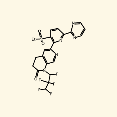 CCS(=O)(=O)c1ccc(-c2ncccn2)nc1-c1cc2c(cn1)N(C(F)C(F)(F)C(F)F)C(=O)CC2